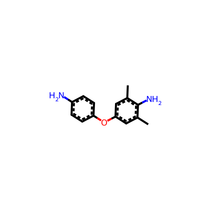 Cc1cc(Oc2ccc(N)cc2)cc(C)c1N